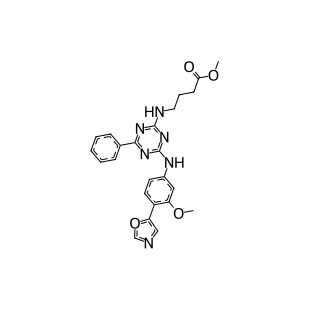 COC(=O)CCCNc1nc(Nc2ccc(-c3cnco3)c(OC)c2)nc(-c2ccccc2)n1